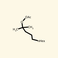 CCCCCCCCCC(C)(C)OOC(C)=O